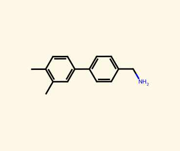 Cc1ccc(-c2ccc(CN)cc2)cc1C